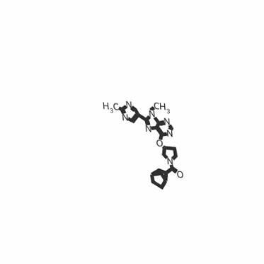 CCn1c(-c2cnc(C)nc2)nc2c(OC3CCN(C(=O)C4CC5CCC4C5)C3)ncnc21